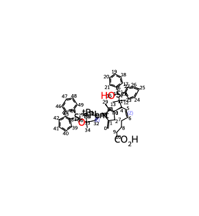 C=C1C[C@H](C(/C=C\CCCC(=O)O)C(C)(C)[Si](O)(c2ccccc2)c2ccccc2)[C@H](C)[C@H]1/C=C/C(C)(CCCCC)O[Si](c1ccccc1)(c1ccccc1)C(C)(C)C